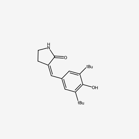 CC(C)(C)c1cc(/C=C2/CCNC2=O)cc(C(C)(C)C)c1O